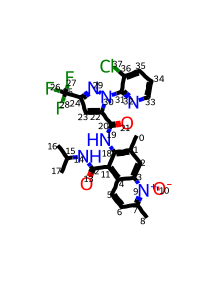 Cc1cc2c(ccc(C)[n+]2[O-])c(C(=O)NC(C)C)c1NC(=O)c1cc(C(F)(F)F)nn1-c1ncccc1Cl